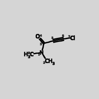 CN(C)C(=O)C#CCl